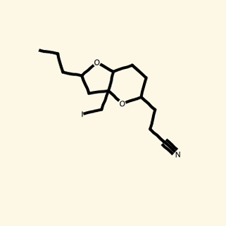 CCCC1CC2(CI)OC(CCC#N)CCC2O1